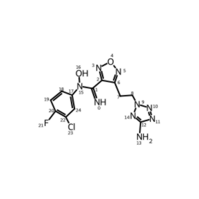 N=C(c1nonc1CCn1nnc(N)n1)N(O)c1ccc(F)c(Cl)c1